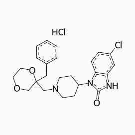 Cl.O=c1[nH]c2cc(Cl)ccc2n1C1CCN(CC2(Cc3ccccc3)COCCO2)CC1